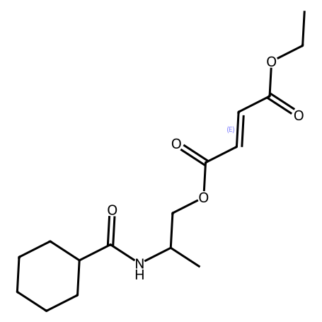 CCOC(=O)/C=C/C(=O)OCC(C)NC(=O)C1CCCCC1